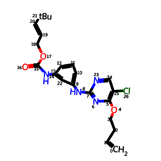 C=CCCOc1nc(Nc2cccc(NC(=O)OCC=CC(C)(C)C)c2)ncc1Cl